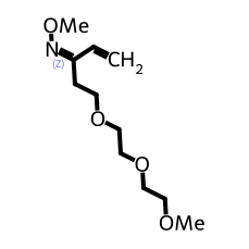 C=C/C(CCOCCOCCOC)=N\OC